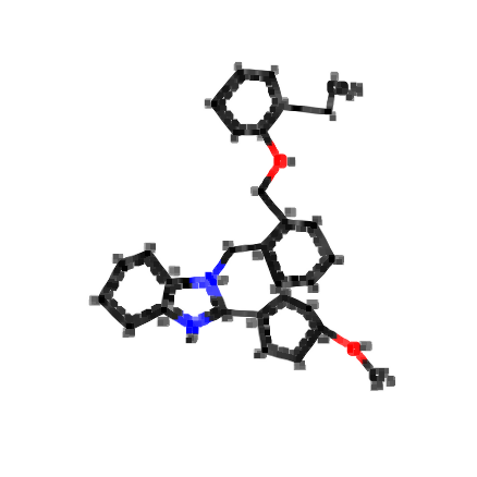 O=C(O)Cc1ccccc1OCc1ccccc1Cn1c(-c2ccc(OC(F)(F)F)cc2)nc2ccccc21